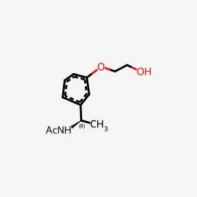 CC(=O)N[C@H](C)c1cccc(OCCO)c1